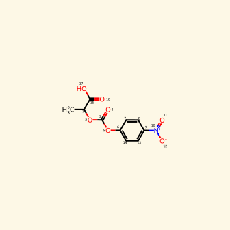 CC(OC(=O)Oc1ccc([N+](=O)[O-])cc1)C(=O)O